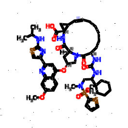 COc1ccc2c(O[C@@H]3C[C@H]4C(=O)N[C@]5(C(=O)O)CC5/C=C\CCCCC[C@H](NC(=O)NC(CN(C)S(=O)(=O)c5cccs5)C5(C)CCCCC5)C(=O)N4C3)cc(-c3csc(NC(C)C)n3)nc2c1